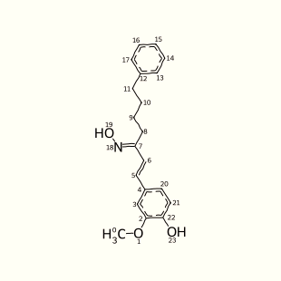 COc1cc(/C=C/C(CCCCc2ccccc2)=NO)ccc1O